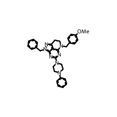 COc1ccc(CN2CCc3nn(Cc4ccccc4)c4nc(N5CCN(c6ccccc6)CC5)nc2c34)cc1